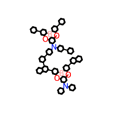 c1ccc(-c2ccc(N(c3ccc(-c4cccc(-c5cc(-c6ccc7c(c6)Oc6cc(N(c8ccccc8)c8ccccc8)cc8c6B7c6ccc(-c7ccc9ccccc9c7)cc6O8)cc6ccccc56)c4)cc3)c3cc4c5c(c3)Oc3cc(-c6ccccc6)ccc3B5c3ccc(-c5ccccc5)cc3O4)cc2)cc1